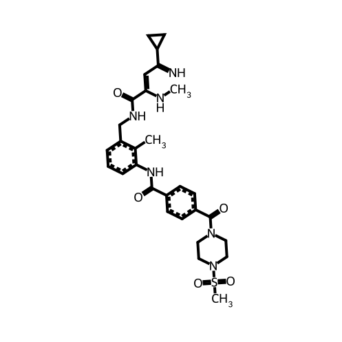 CN/C(=C\C(=N)C1CC1)C(=O)NCc1cccc(NC(=O)c2ccc(C(=O)N3CCN(S(C)(=O)=O)CC3)cc2)c1C